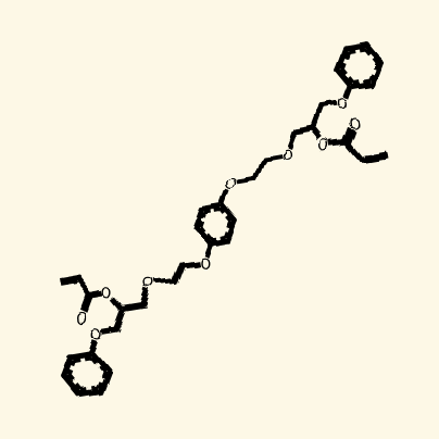 C=CC(=O)OC(COCCOc1ccc(OCCOCC(COc2ccccc2)OC(=O)C=C)cc1)COc1ccccc1